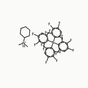 C[NH+](C)C1CCCCC1.Fc1cc(F)c([B-](c2c(F)cc(F)c(F)c2F)(c2c(F)cc(F)c(F)c2F)c2c(F)cc(F)c(F)c2F)c(F)c1F